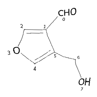 O=Cc1cocc1CO